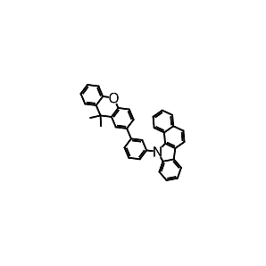 CC1(C)c2ccccc2Oc2ccc(-c3cccc(-n4c5ccccc5c5ccc6ccccc6c54)c3)cc21